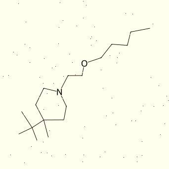 CCCCCOCCN1CCC(C)(C(C)(C)C)CC1